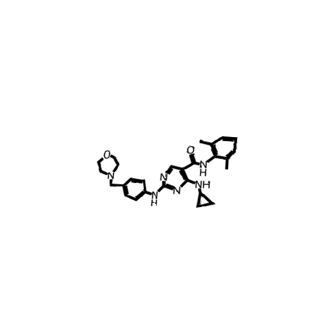 Cc1cccc(C)c1NC(=O)c1cnc(Nc2ccc(CN3CCOCC3)cc2)nc1NC1CC1